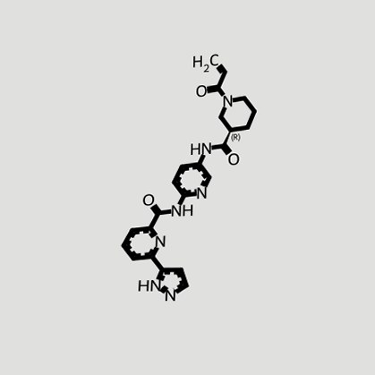 C=CC(=O)N1CCC[C@@H](C(=O)Nc2ccc(NC(=O)c3cccc(-c4ccn[nH]4)n3)nc2)C1